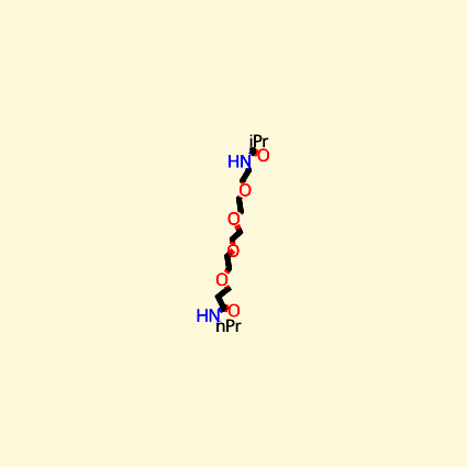 CCCNC(=O)CCOCCOCCOCCOCCNC(=O)C(C)C